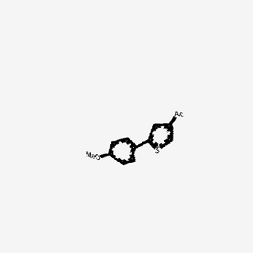 COc1ccc(-c2cc(C(C)=O)cs2)cc1